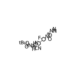 CC(C)(C)OC(=O)N1C[C@@H]2[C@H](C1)[C@@]2(C#N)c1ccc(-c2ccc(N3C[C@H](Cn4cnnc4)OC3=O)cc2F)cn1